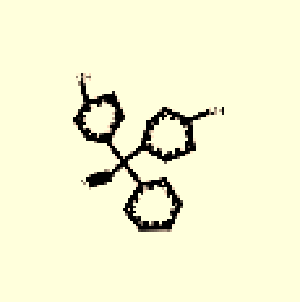 N#CC(c1ccccc1)(c1ccc(O)cc1)c1ccc(O)cc1